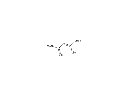 C=C(/C=C(/OC)C(C)(C)C)NC